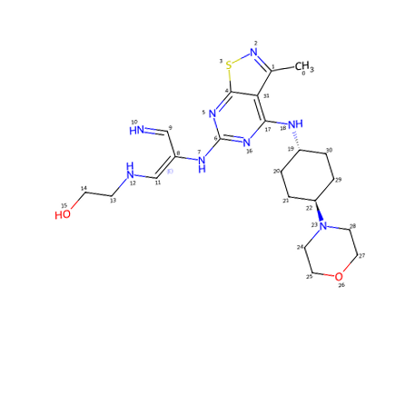 Cc1nsc2nc(N/C(C=N)=C/NCCO)nc(N[C@H]3CC[C@H](N4CCOCC4)CC3)c12